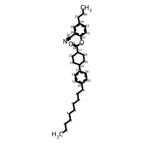 CCCCCCCCCCc1ccc(C2CCC(C(=O)Oc3ccc(CCC)cc3C#N)CC2)cc1